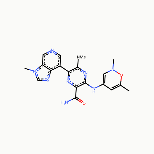 CNc1nc(NC2=CN(C)OC(C)=C2)c(C(N)=O)nc1-c1cncc2c1ncn2C